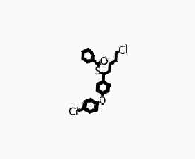 O=C(SC(CCCCCl)c1ccc(Oc2ccc(Cl)cc2)cc1)c1ccccc1